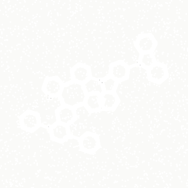 c1ccc(-n2ccn(-c3ccccc3)c3cc4c(cc32)c2ccccc2c2c(-n3c5ccccc5c5cc(-n6c7ccccc7c7ccccc76)ccc53)cccc2c2cccnc42)cc1